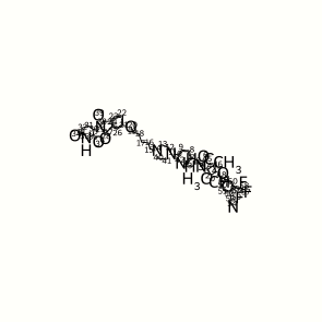 CC1(C)C(NC(=O)c2ccc(N3CCN(CCCCCOc4ccc5c(c4)C(=O)N(C4CCC(=O)NC4=O)C5=O)CC3)nc2)C(C)(C)C1Oc1ccc(C#N)c(C(F)(F)F)c1